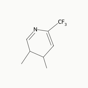 CC1C=NC(C(F)(F)F)=CC1C